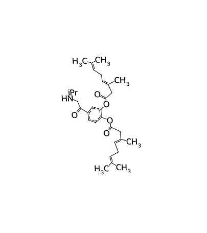 CC(C)=CCC=C(C)CC(=O)Oc1ccc(C(=O)CNC(C)C)cc1OC(=O)CC(C)=CCC=C(C)C